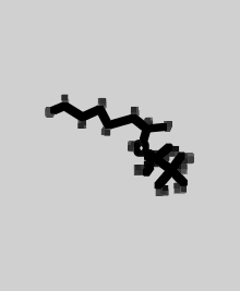 CCCCCCC(C)O[Si](C)(C)C(C)(C)C